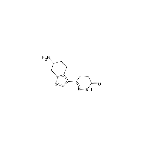 NC1CCc2c(C3=NNC(=O)CC3)csc2C1